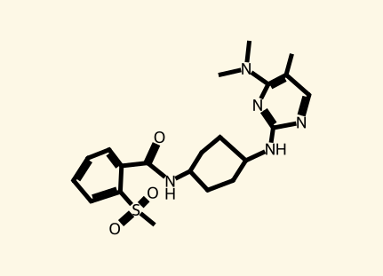 Cc1cnc(NC2CCC(NC(=O)c3ccccc3S(C)(=O)=O)CC2)nc1N(C)C